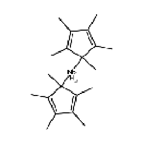 CC1=C(C)[C](C)([NbH3][C]2(C)C(C)=C(C)C(C)=C2C)C(C)=C1C